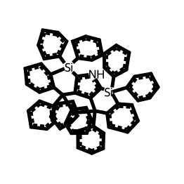 c1ccc(C2(c3ccccc3)c3ccccc3[Si](c3ccccc3)(c3ccccc3)c3[nH]c4c(c32)C(c2ccccc2)(c2ccccc2)c2ccccc2[Si]4(c2ccccc2)c2ccccc2)cc1